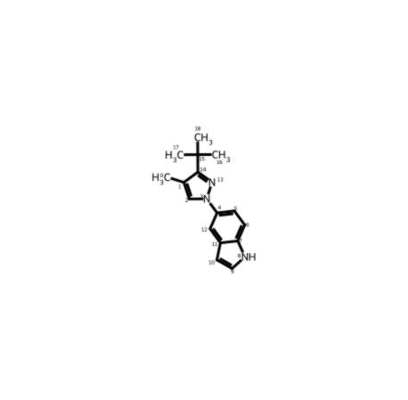 Cc1cn(-c2ccc3[nH]ccc3c2)nc1C(C)(C)C